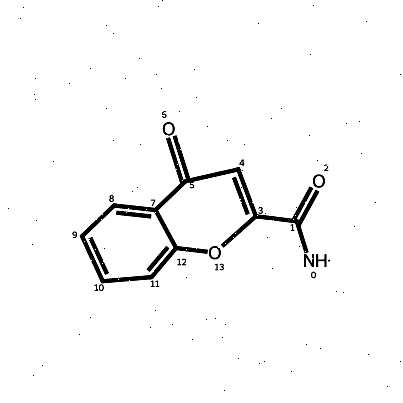 [NH]C(=O)c1cc(=O)c2ccccc2o1